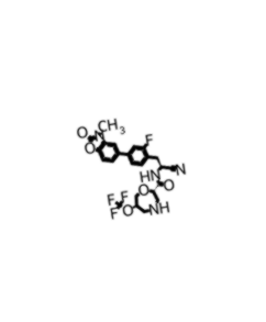 Cn1c(=O)oc2ccc(-c3ccc(C[C@@H](C#N)NC(=O)[C@@H]4CNC[C@@H](OC(F)(F)F)CO4)c(F)c3)cc21